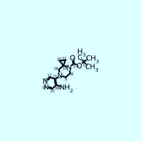 CC(C)(C)OC(=O)N1CCN(c2cnncc2N)CC12CC2